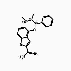 CN[C@@H](C)[C@@H](Oc1cccc2sc(C(=N)N)cc12)c1ccccc1